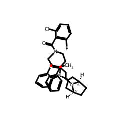 Cc1nc2ccccc2n1C1C[C@H]2CC[C@@H](C1)N2CCC1(c2ccccc2)CCN(C(=O)c2c(F)cccc2Cl)CC1